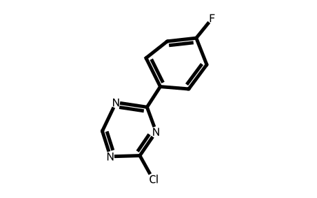 Fc1ccc(-c2ncnc(Cl)n2)cc1